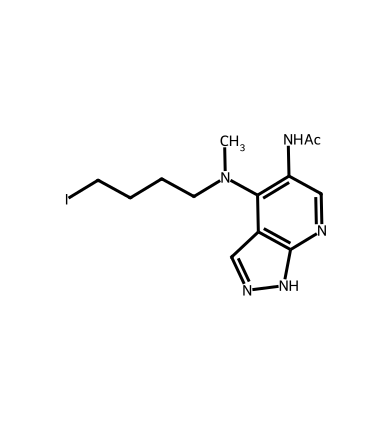 CC(=O)Nc1cnc2[nH]ncc2c1N(C)CCCCI